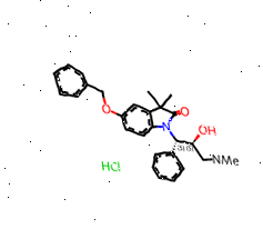 CNC[C@H](O)[C@H](c1ccccc1)N1C(=O)C(C)(C)c2cc(OCc3ccccc3)ccc21.Cl